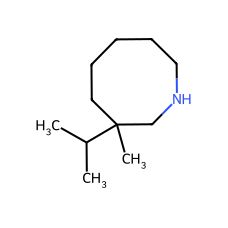 CC(C)C1(C)CCCCCNC1